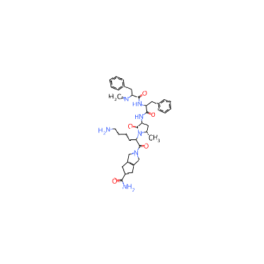 C=NC(Cc1ccccc1)C(=O)NC(Cc1ccccc1)C(=O)NC1CC(C)N(C(CCCCN)C(=O)N2CC3CC(C(N)=O)CC3C2)C1=O